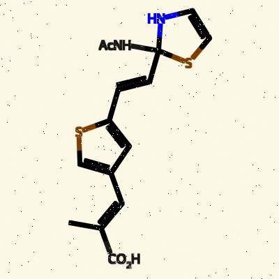 CC(=O)NC1(C=Cc2cc(C=C(C)C(=O)O)cs2)NC=CS1